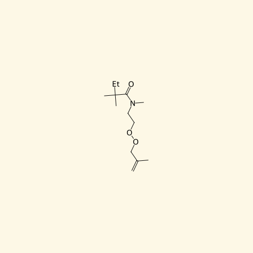 C=C(C)COOCCN(C)C(=O)C(C)(C)CC